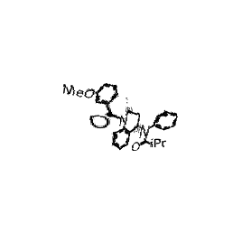 COc1cccc(C(=O)N2c3ccccc3[C@@H](N(C(=O)C(C)C)c3ccccc3)C[C@H]2C)c1